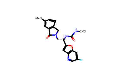 COc1ccc2c(c1)C(=O)N(C[C@H](NC(=O)NC=O)c1cc3ncc(F)cc3o1)C2